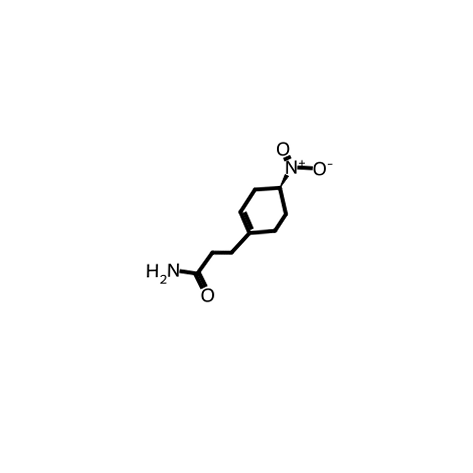 NC(=O)CCC1=CC[C@@H]([N+](=O)[O-])CC1